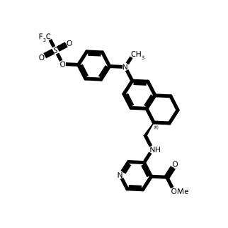 COC(=O)c1ccncc1NC[C@@H]1CCCc2cc(N(C)c3ccc(OS(=O)(=O)C(F)(F)F)cc3)ccc21